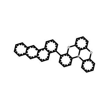 c1ccc2c(c1)Oc1cccc3c1B2c1cccc(-c2cccc4c2ccc2cc5ccccc5cc24)c1O3